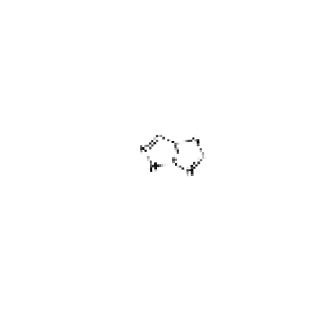 C1=N[N]c2ncsc21